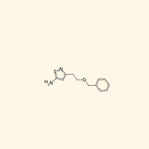 Nc1cc(CCOCc2ccccc2)ns1